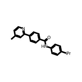 Cc1ccnc(-c2ccc(C(=O)Nc3ccc(C(C)C)cc3)cc2)c1